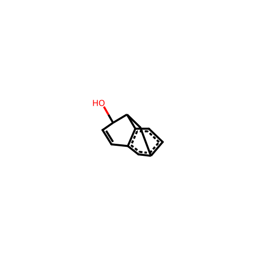 OC1C=Cc2cc3ccc2C1C3